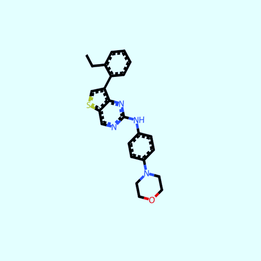 CCc1ccccc1-c1csc2cnc(Nc3ccc(N4CCOCC4)cc3)nc12